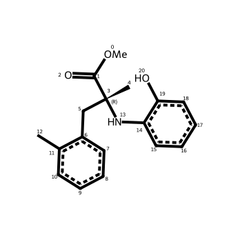 COC(=O)[C@@](C)(Cc1ccccc1C)Nc1ccccc1O